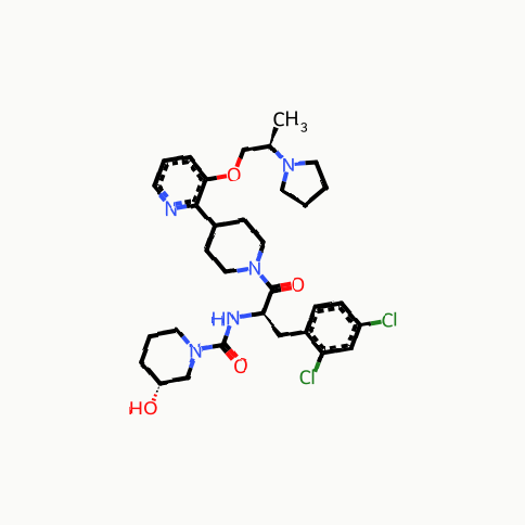 C[C@H](COc1cccnc1C1CCN(C(=O)[C@@H](Cc2ccc(Cl)cc2Cl)NC(=O)N2CCC[C@@H](O)C2)CC1)N1CCCC1